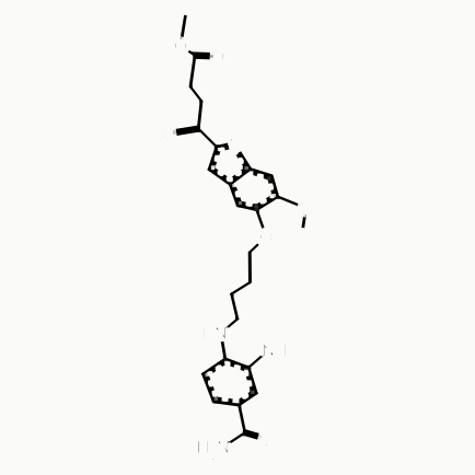 COC(=O)CCC(=O)c1cc2cc(OCCCCNc3ccc(C(N)=O)cc3N)c(OC)cc2s1